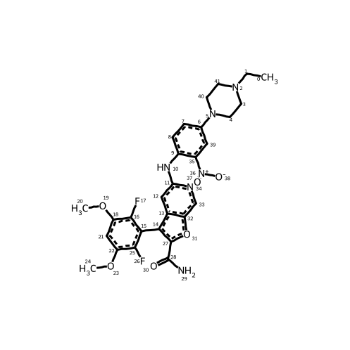 CCN1CCN(c2ccc(Nc3cc4c(-c5c(F)c(OC)cc(OC)c5F)c(C(N)=O)oc4cn3)c([N+](=O)[O-])c2)CC1